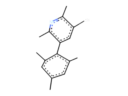 Cc1cc(C)c(-c2cc(C(C)(C)C)c(C)nc2C)c(C)c1